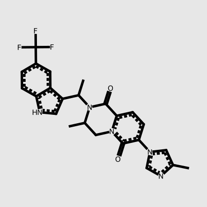 Cc1cn(-c2ccc3n(c2=O)CC(C)N(C(C)c2c[nH]c4ccc(C(F)(F)F)cc24)C3=O)cn1